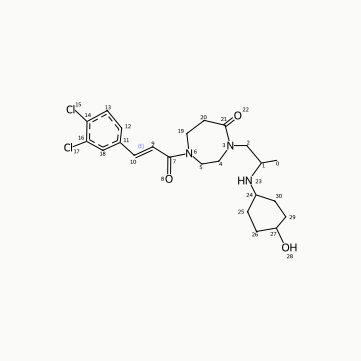 CC(CN1CCN(C(=O)/C=C/c2ccc(Cl)c(Cl)c2)CCC1=O)NC1CCC(O)CC1